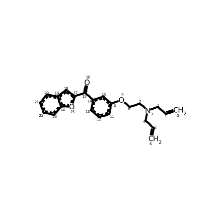 C=CCN(CC=C)CCOc1cccc(C(=O)c2cc3ccccc3o2)c1